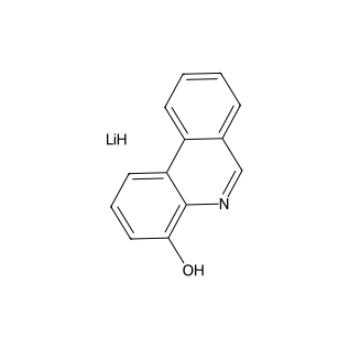 Oc1cccc2c1ncc1ccccc12.[LiH]